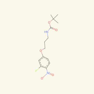 CC(C)(C)OC(=O)NCCCOc1ccc([N+](=O)[O-])c(F)c1